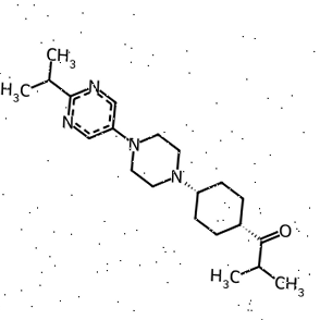 CC(C)c1ncc(N2CCN([C@H]3CC[C@@H](C(=O)C(C)C)CC3)CC2)cn1